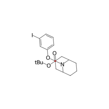 CC(C)(C)OC(=O)N1C2CCCC1CC(Oc1cccc(I)c1)C2